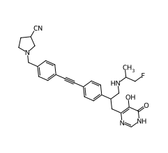 CC(CF)NCC(Cc1nc[nH]c(=O)c1O)c1ccc(C#Cc2ccc(CN3CCC(C#N)C3)cc2)cc1